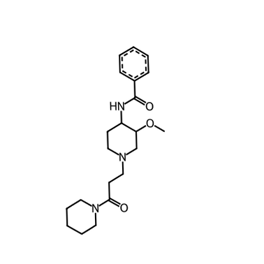 COC1CN(CCC(=O)N2CCCCC2)CCC1NC(=O)c1ccccc1